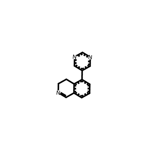 C1=NCCc2c1cccc2-c1cncnc1